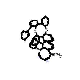 C=C1/C=C\C=C/N(c2ccccc2)c2c1cccc2-c1cccc2c1-c1ccccc1Sc1ccccc1-c1cccc(-c3ccccc3)c1S2